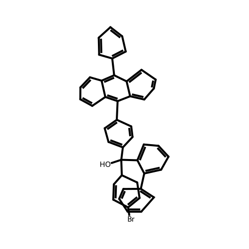 OC(c1ccc(-c2c3ccccc3c(-c3ccccc3)c3ccccc23)cc1)(c1ccccc1-c1ccccc1)C1C=CC(Br)=CC1